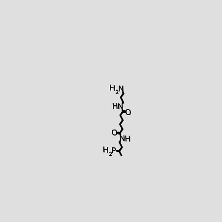 CC(P)CCNC(=O)CCCCC(=O)NCCCN